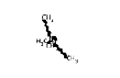 CCCCCCCCn1cc[n+](CCCCCCCC)c1C(C)C